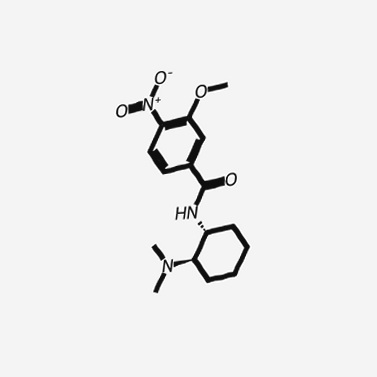 COc1cc(C(=O)N[C@@H]2CCCC[C@H]2N(C)C)ccc1[N+](=O)[O-]